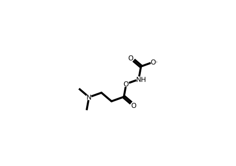 CN(C)CCC(=O)ONC([O])=O